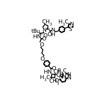 Cc1ncsc1-c1ccc(CNC(=O)[C@@H]2CC(C)CN2C(=O)[C@@H](NC(=O)COCCCCOc2ccc(C(=O)N[C@H]3C(C)(C)[C@H](Oc4ccc5nnc(C(F)(F)F)n5n4)C3(C)C)cc2)C(C)(C)C)cc1